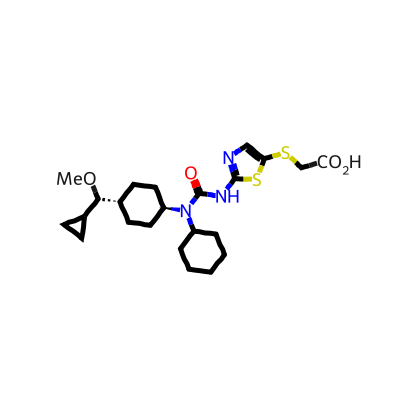 COC(C1CC1)[C@H]1CC[C@H](N(C(=O)Nc2ncc(SCC(=O)O)s2)C2CCCCC2)CC1